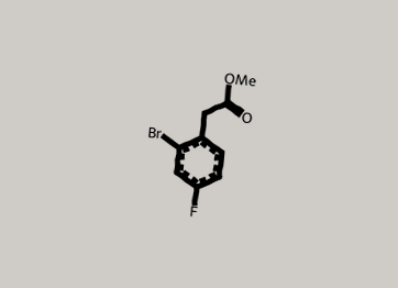 COC(=O)Cc1ccc(F)cc1Br